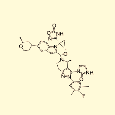 Cc1cc(-n2nc3c(c2-n2cc[nH]c2=O)[C@H](C)N(C(=O)c2cc4cc(C5CCO[C@@H](C)C5)ccc4n2[C@@]2(c4noc(=O)[nH]4)C[C@@H]2C)CC3)cc(C)c1F